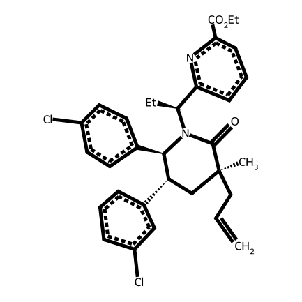 C=CC[C@@]1(C)C[C@H](c2cccc(Cl)c2)[C@@H](c2ccc(Cl)cc2)N([C@@H](CC)c2cccc(C(=O)OCC)n2)C1=O